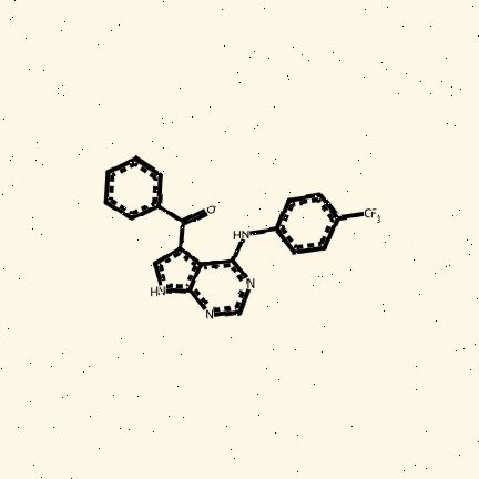 O=C(c1ccccc1)c1c[nH]c2ncnc(Nc3ccc(C(F)(F)F)cc3)c12